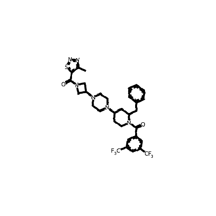 Cc1nnsc1C(=O)N1CC(N2CCN(C3CCN(C(=O)c4cc(C(F)(F)F)cc(C(F)(F)F)c4)C(Cc4ccccc4)C3)CC2)C1